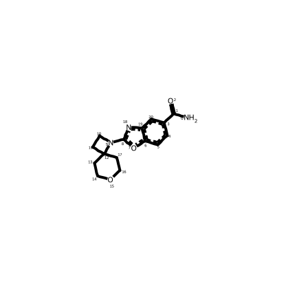 NC(=O)c1ccc2oc(N3CCC34CCOCC4)nc2c1